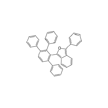 c1ccc(-c2ccc(-c3ccccc3)c(-c3oc(-c4ccccc4)c4ccccc34)c2-c2ccccc2)cc1